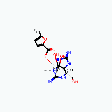 C[C@H]1[C@H](OC(=O)c2ccc(C(F)(F)F)o2)C(O)(O)[C@]23NC(=N)N[C@H]2[C@H](CO)NC(=N)N13